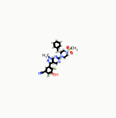 Cn1nc(-c2cc(C#N)c(F)c(O)c2F)c2cnc(N3CCN(S(C)(=O)=O)C[C@H]3Cc3ccccc3)nc21